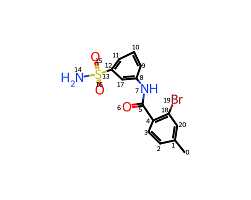 Cc1ccc(C(=O)Nc2cccc(S(N)(=O)=O)c2)c(Br)c1